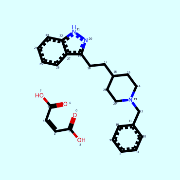 O=C(O)/C=C\C(=O)O.c1ccc(CN2CCC(CCc3n[nH]c4ccccc34)CC2)cc1